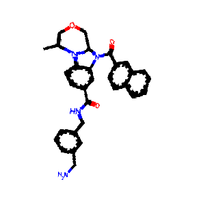 CC1COCC2N(C(=O)c3ccc4ccccc4c3)c3cc(C(=O)NCc4cccc(CN)c4)ccc3N12